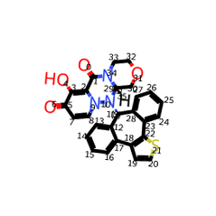 O=C1c2c(O)c(=O)ccn2N([C@H]2c3ccccc3-c3ccsc3-c3ccccc32)[C@H]2COCCN12